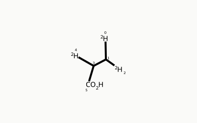 [2H]C([2H])C([2H])C(=O)O